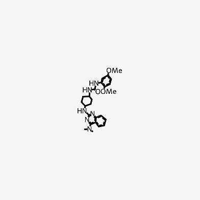 COc1ccc(OC)c(NC(=O)NC2CCC(Nc3nc(N(C)C)c4ccccc4n3)CC2)c1